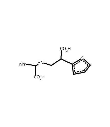 CCCC(NCC(C(=O)O)c1cccs1)C(=O)O